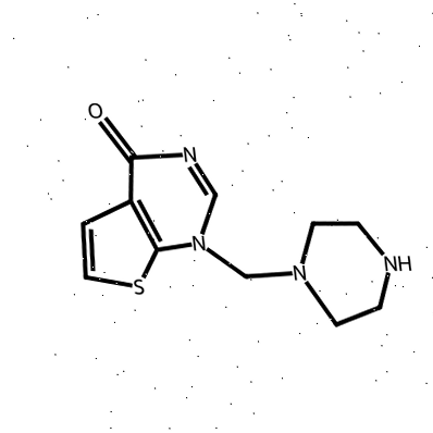 O=c1ncn(CN2CCNCC2)c2sccc12